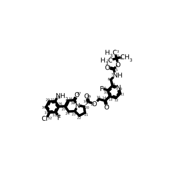 CC(C)(C)OC(=O)NCc1nccc(C(=O)COC(=O)[C@@H]2CCC3CC(c4c(N)ccc(Cl)c4F)=CC(=O)N32)c1F